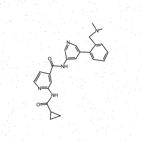 CN(C)Cc1ccccc1-c1cncc(NC(=O)c2ccnc(NC(=O)C3CC3)c2)c1